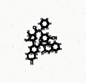 Cc1ccc(N(C(=O)c2cc(-c3cc4c(cc3C(=O)N3Cc5ccccc5C[C@H]3C)CNCC4)n(C)c2C)c2ccccc2)cc1C#N